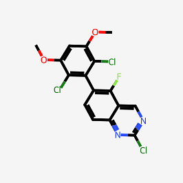 COc1cc(OC)c(Cl)c(-c2ccc3nc(Cl)ncc3c2F)c1Cl